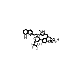 COc1ccc(C2CCOCC2)cc1C(CC(=O)O)Cc1cc(OCCc2ccc3c(n2)NCCC3)n(C)n1.O=C(O)C(F)(F)F